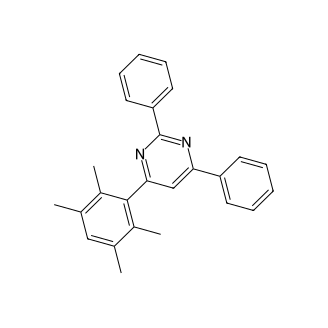 Cc1cc(C)c(C)c(-c2cc(-c3ccccc3)nc(-c3ccccc3)n2)c1C